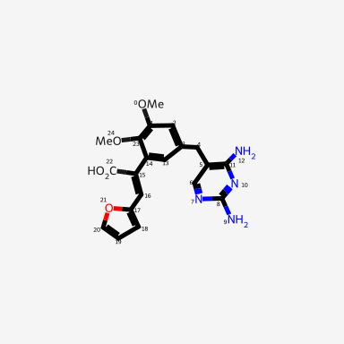 COc1cc(Cc2cnc(N)nc2N)cc(C(=Cc2ccco2)C(=O)O)c1OC